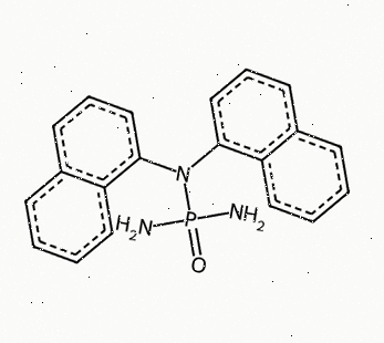 NP(N)(=O)N(c1cccc2ccccc12)c1cccc2ccccc12